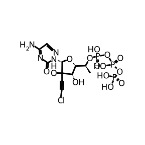 C[C@H](OP(=O)(O)OP(=O)(O)OP(=O)(O)O)[C@H]1O[C@@H](n2ncc(N)nc2=O)C(O)(C#CCl)[C@H]1O